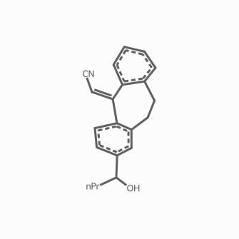 CCCC(O)c1ccc2c(c1)CCc1ccccc1/C2=C\C#N